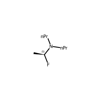 CCCN(CCC)[C@H](C)F